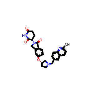 N#Cc1ccc2cc(CN3CC[C@H](Oc4ccc5c(c4)CN([C@H]4CCC(=O)NC4=O)C5=O)C3)ccc2n1